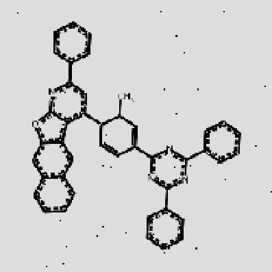 CC1C=C(c2nc(-c3ccccc3)nc(-c3ccccc3)n2)C=CC1c1cc(-c2ccccc2)nc2oc3cc4ccccc4cc3c12